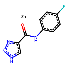 O=C(Nc1ccc(F)cc1)c1c[nH]nn1.[Zn]